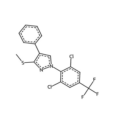 CSc1nn(-c2c(Cl)cc(C(F)(F)F)cc2Cl)cc1-c1ccccc1